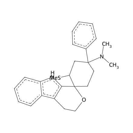 CSC1CC(c2ccccc2)(N(C)C)CCC12OCCc1c2[nH]c2ccccc12